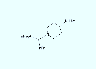 CCCCCCCC(CCC)N1CCC(NC(C)=O)CC1